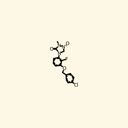 CN1C(=O)N(c2cccc(OCc3ccc(Cl)cc3)c2F)C[N+]1=O